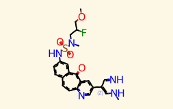 CN/C=C(\C=N)c1cnc2ccc3ccc(NS(=O)(=O)N(C)CC(F)COC)cc3c(=O)c2c1